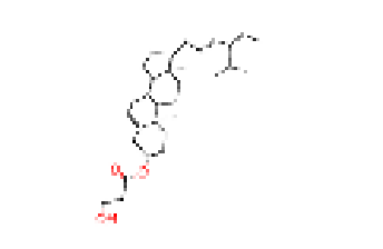 CC[C@H](C=C[C@@H](C)[C@H]1CCC2C3CC=C4C[C@@H](OC(=O)CCO)CC[C@]4(C)C3CC[C@@]21C)C(C)C